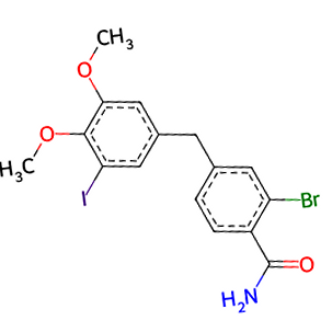 COc1cc(Cc2ccc(C(N)=O)c(Br)c2)cc(I)c1OC